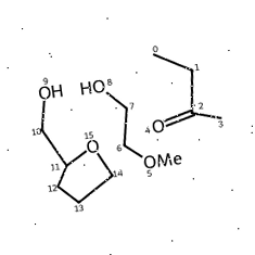 CCC(C)=O.COCCO.OCC1CCCO1